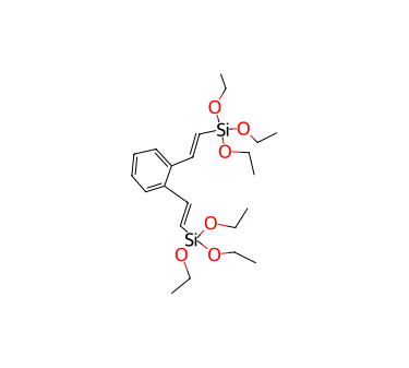 CCO[Si](C=Cc1ccccc1C=C[Si](OCC)(OCC)OCC)(OCC)OCC